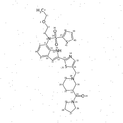 CCOCCN(c1cccc2cc(-c3ncc(CN4CCCC(C(=O)N5CCCC5)C4)s3)[nH]c12)S(=O)(=O)c1cccs1